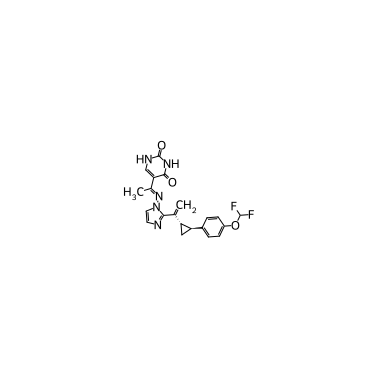 C=C(c1nccn1/N=C(\C)c1c[nH]c(=O)[nH]c1=O)[C@H]1C[C@@H]1c1ccc(OC(F)F)cc1